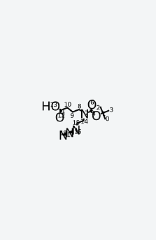 CC(C)(C)OC(=O)N(CCCC(=O)O)CCN=[N+]=[N-]